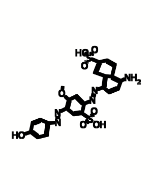 COc1cc(N=Nc2ccc(N)c3ccc(S(=O)(=O)O)cc23)c(S(=O)(=O)O)cc1N=Nc1ccc(O)cc1